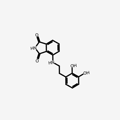 O=C1NC(=O)c2c(NCCc3cccc(O)c3O)cccc21